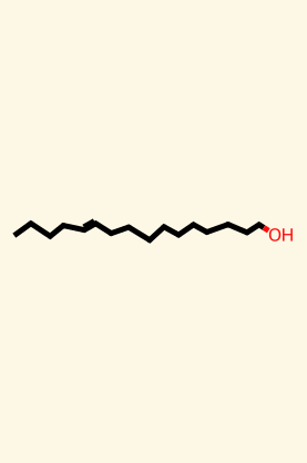 CCCCC=CCCCCCCCCCCO